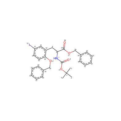 CC(C)(C)OC(=O)NC(Cc1cc(I)ccc1OCc1ccccc1)C(=O)OCc1ccccc1